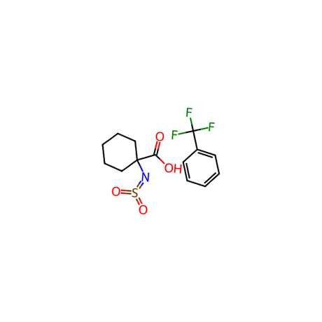 FC(F)(F)c1ccccc1.O=C(O)C1(N=S(=O)=O)CCCCC1